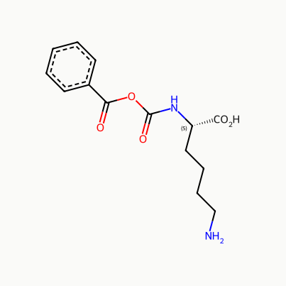 NCCCC[C@H](NC(=O)OC(=O)c1ccccc1)C(=O)O